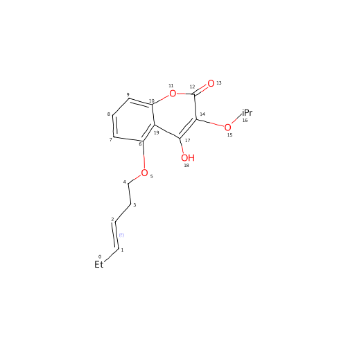 CC/C=C/CCOc1cccc2oc(=O)c(OC(C)C)c(O)c12